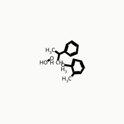 CC(C)c1ccccc1.Cc1ccccc1C.OO